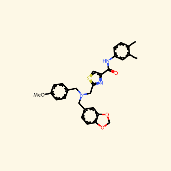 COc1ccc(CN(Cc2ccc3c(c2)OCO3)Cc2nc(C(=O)Nc3ccc(C)c(C)c3)cs2)cc1